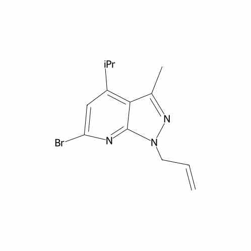 C=CCn1nc(C)c2c(C(C)C)cc(Br)nc21